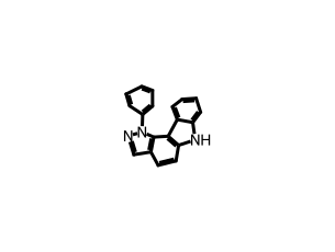 c1ccc(-n2ncc3ccc4[nH]c5ccccc5c4c32)cc1